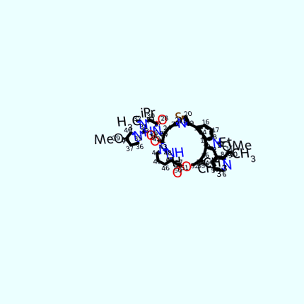 CCn1c(-c2cccnc2[C@H](C)OC)c2c3cc(ccc31)-c1csc(n1)C[C@H](NC(=O)[C@H](C(C)C)N(C)C(=O)N1CC[C@@H](OC)C1)C(=O)N1CCC[C@H](N1)C(=O)OCC(C)(C)C2